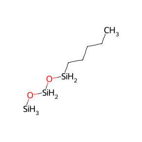 CCCCC[SiH2]O[SiH2]O[SiH3]